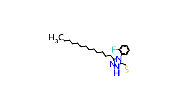 CCCCCCCCCCCCCC1=NNC(C=S)N1c1ccccc1F